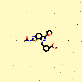 COC(=O)c1cccc(Cn2nc(C3=CCCO3)c3c2-c2sc(NC(C)=O)nc2CC3)c1